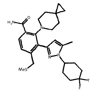 CSCc1ccc(C(N)=O)c(N2CCC3(CC2)CC3)c1-c1cc(C)n(C2CCC(F)(F)CC2)n1